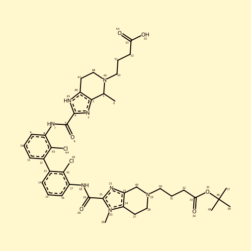 CC1c2nc(C(=O)Nc3cccc(-c4cccc(NC(=O)c5nc6c(n5C)CCN(CCCC(=O)OC(C)(C)C)C6)c4Cl)c3Cl)[nH]c2CCN1CCCC(=O)O